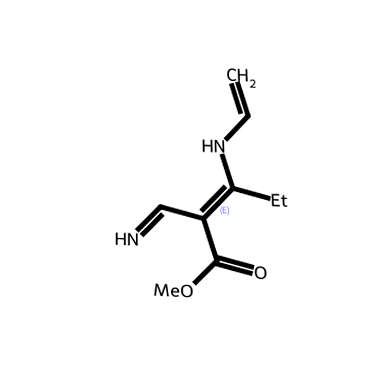 C=CN/C(CC)=C(\C=N)C(=O)OC